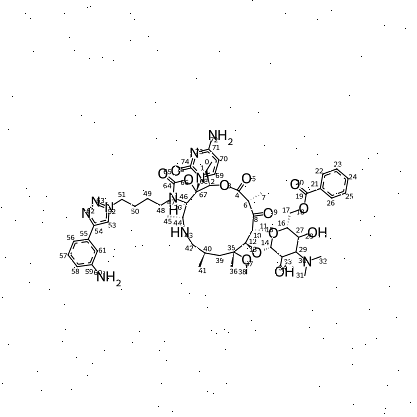 CC[C@H]1OC(=O)[C@H](C)C(=O)[C@H](C)[C@@H](O[C@@H]2O[C@H](COC(=O)c3ccccc3)C(O)C(N(C)C)C2O)[C@](C)(OC)C[C@@H](C)CN[C@H](C)[C@H]2N(CCCCn3cc(-c4cccc(N)c4)nn3)C(=O)O[C@]12n1ccc(N)nc1=O